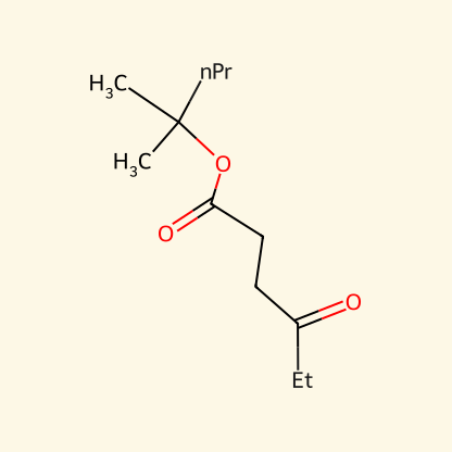 CCCC(C)(C)OC(=O)CCC(=O)CC